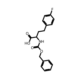 O=C(NC(CCc1ccc(F)cc1)C(=O)O)OCc1ccccc1